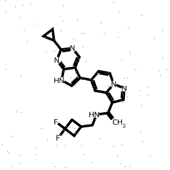 C=C(NCC1CC(F)(F)C1)c1cnn2ccc(-c3c[nH]c4nc(C5CC5)ncc34)cc12